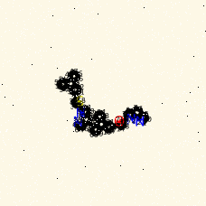 c1cnc2c(c1)ccc1ccc(-c3ccc(-c4ccc5c(c4)c4ccccc4c4c(-c6cc7ccc(-c8ccc(-c9ccc%10c%11ccccc%11c%11ccccc%11c%10c9)s8)nc7c7ncccc67)cccc54)o3)nc12